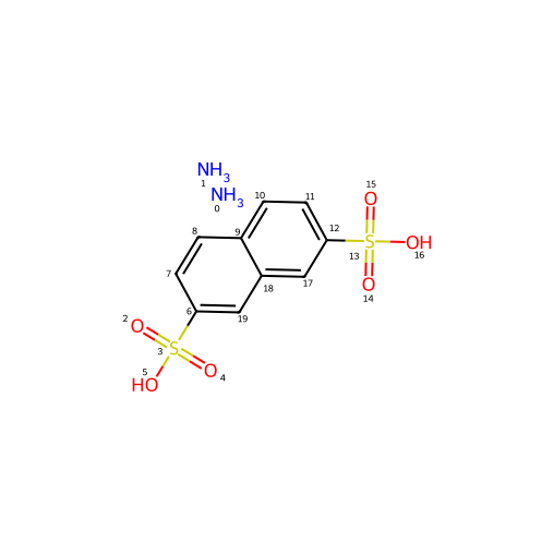 N.N.O=S(=O)(O)c1ccc2ccc(S(=O)(=O)O)cc2c1